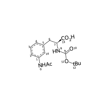 CC(=O)Nc1cccc(C[C@H](NC(=O)OC(C)(C)C)C(=O)O)c1